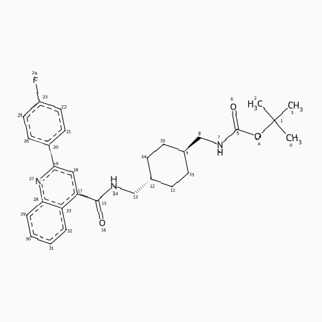 CC(C)(C)OC(=O)NC[C@H]1CC[C@H](CNC(=O)c2cc(-c3ccc(F)cc3)nc3ccccc23)CC1